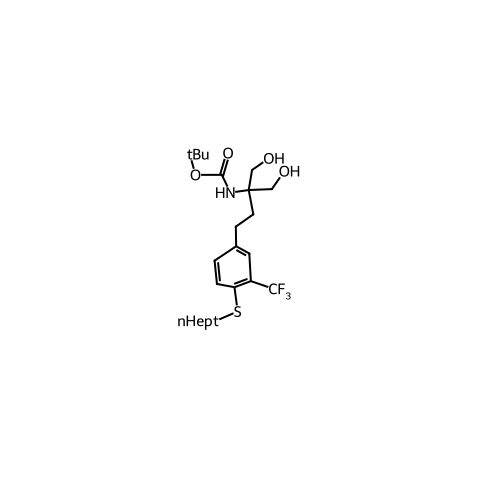 CCCCCCCSc1ccc(CCC(CO)(CO)NC(=O)OC(C)(C)C)cc1C(F)(F)F